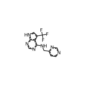 FC(F)(F)c1c[nH]c2ncnc(NCc3ccncn3)c12